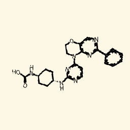 O=C(O)N[C@H]1CC[C@H](Nc2nccc(N3CCOc4cnc(-c5ccccc5)nc43)n2)CC1